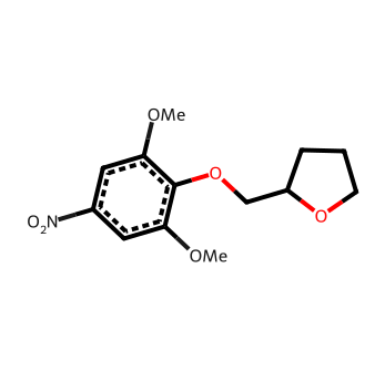 COc1cc([N+](=O)[O-])cc(OC)c1OCC1CCCO1